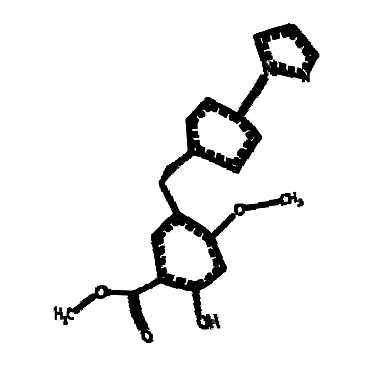 COC(=O)c1cc(Cc2ccc(-n3cccn3)cc2)c(OC)cc1O